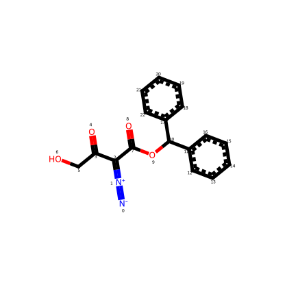 [N-]=[N+]=C(C(=O)CO)C(=O)OC(c1ccccc1)c1ccccc1